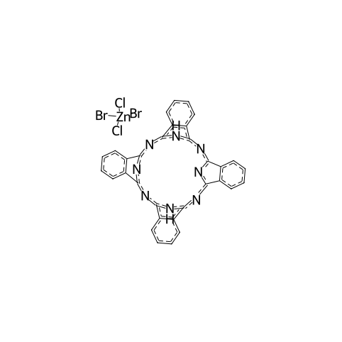 [Cl][Zn]([Cl])([Br])[Br].c1ccc2c(c1)-c1nc-2nc2[nH]c(nc3nc(nc4[nH]c(n1)c1ccccc41)-c1ccccc1-3)c1ccccc21